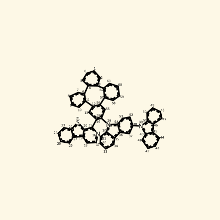 c1ccc2c(c1)-c1ccccc1-c1cc(-c3nccc4c3sc3ccccc34)c(-n3c4ccccc4c4cc(-n5c6ccccc6c6ccccc65)ccc43)cc1-c1ccccc1-2